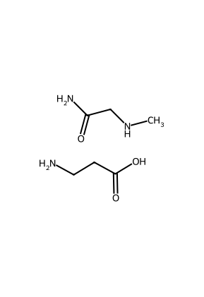 CNCC(N)=O.NCCC(=O)O